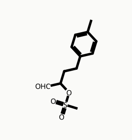 Cc1ccc(CCC(C=O)OS(C)(=O)=O)cc1